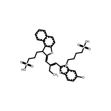 CCC(=Cc1sc2ccc(Cl)cc2[n+]1CCCCS(=O)(=O)O)C=C1Oc2ccc3ccccc3c2C1CCCS(=O)(=O)O